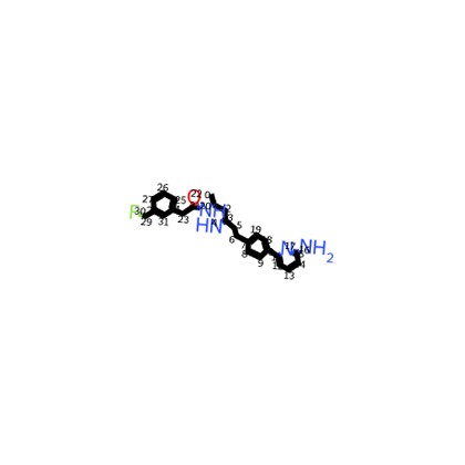 CC(CC(=N)CCc1ccc(-c2cccc(N)n2)cc1)NC(=O)Cc1cccc(CF)c1